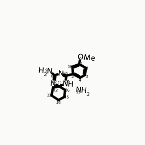 COc1cccc(C2=NC(N)=NC3(CCCCC3)N2)c1.N